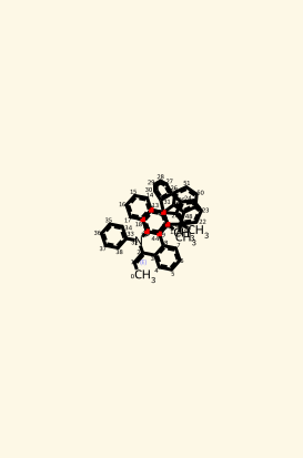 C/C=C(\c1ccccc1C1=C(C)C2(c3ccccc3S1)c1ccccc1-c1ccccc12)N(c1ccccc1)c1ccc2c(c1)C(C)(C)c1ccccc1-2